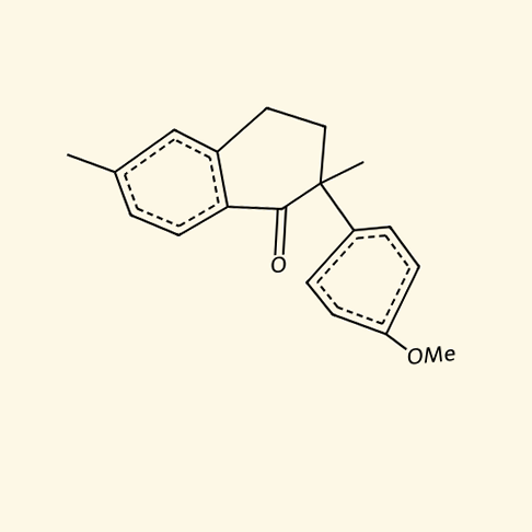 COc1ccc(C2(C)CCc3cc(C)ccc3C2=O)cc1